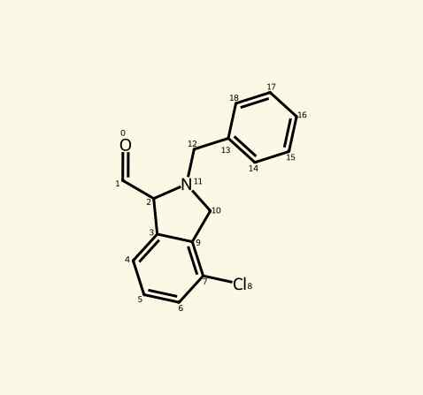 O=CC1c2cccc(Cl)c2CN1Cc1ccccc1